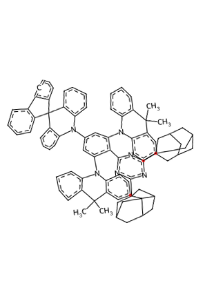 CC1(C)c2ccccc2N(c2cc(N3c4ccccc4C4(c5ccccc5-c5ccccc54)c4ccccc43)cc(N3c4ccccc4C(C)(C)c4ccccc43)c2-c2nc(C34CC5CC(CC(C5)C3)C4)nc(C34CC5CC(CC(C5)C3)C4)n2)c2ccccc21